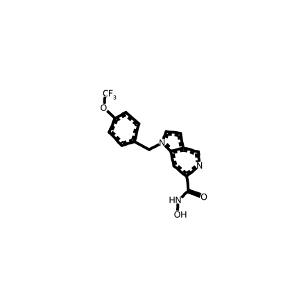 O=C(NO)c1cc2c(ccn2Cc2ccc(OC(F)(F)F)cc2)cn1